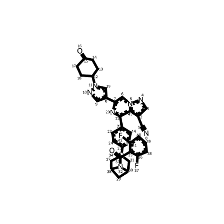 N#Cc1cnn2cc(-c3cnn(C4CCC(=O)CC4)c3)nc(-c3ccc(N4CC5CC(C4)N5C(=O)c4c(F)cccc4F)nc3)c12